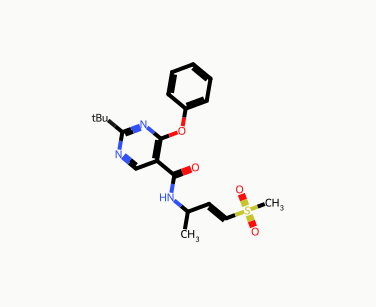 CC(/C=C/S(C)(=O)=O)NC(=O)c1cnc(C(C)(C)C)nc1Oc1ccccc1